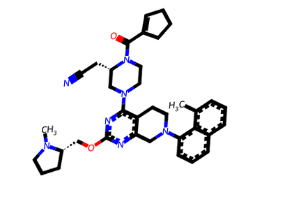 Cc1cccc2cccc(N3CCc4c(nc(OC[C@@H]5CCCN5C)nc4N4CCN(C(=O)C5=CCCC5)[C@@H](CC#N)C4)C3)c12